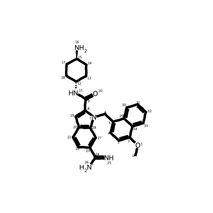 COc1ccc(Cn2c(C(=O)N[C@H]3CC[C@H](N)CC3)cc3ccc(C(=N)N)cc32)c2ccccc12